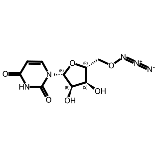 [N-]=[N+]=NOC[C@H]1O[C@@H](n2ccc(=O)[nH]c2=O)[C@H](O)[C@@H]1O